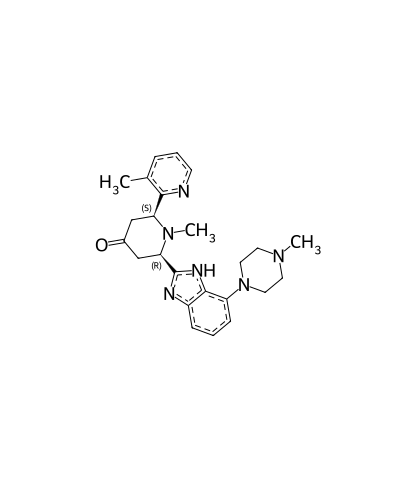 Cc1cccnc1[C@@H]1CC(=O)C[C@H](c2nc3cccc(N4CCN(C)CC4)c3[nH]2)N1C